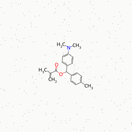 C=C(C)C(=O)OC(c1ccc(C)cc1)c1ccc(N(C)C)cc1